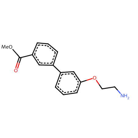 COC(=O)c1cccc(-c2cccc(OCCN)c2)c1